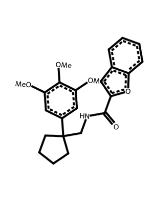 COc1cc(C2(CNC(=O)c3cc4ccccc4o3)CCCC2)cc(OC)c1OC